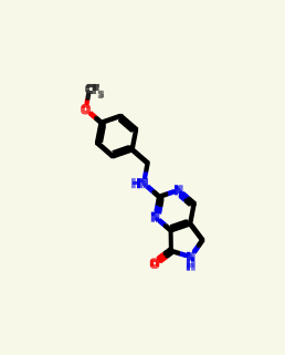 O=C1NCc2cnc(NCc3ccc(OC(F)(F)F)cc3)nc21